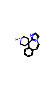 C1=Cn2ccnc2C2(CCNCC2)c2ccccc21